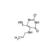 C=CCNc1c(C=N)nc(Cl)[nH]c1=O